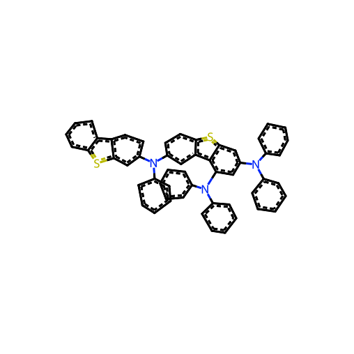 c1ccc(N(c2ccccc2)c2cc(N(c3ccccc3)c3ccccc3)c3c(c2)sc2ccc(N(c4ccccc4)c4ccc5c(c4)sc4ccccc45)cc23)cc1